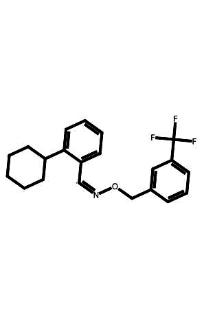 FC(F)(F)c1cccc(CO/N=[C]\c2ccccc2C2CCCCC2)c1